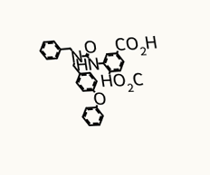 O=C(O)c1ccc(C(=O)O)c(NC(=O)N(Cc2ccccc2)Cc2ccc(Oc3ccccc3)cc2)c1